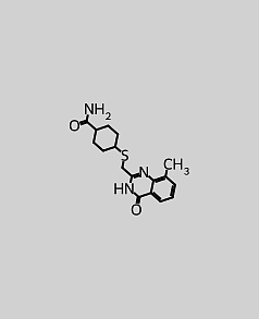 Cc1cccc2c(=O)[nH]c(CSC3CCC(C(N)=O)CC3)nc12